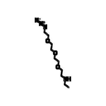 CCNCCOCCOCCOCCN=[N+]=[N-]